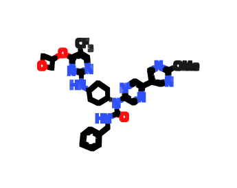 COc1ncc(-c2cnc(N(C(=O)NCc3ccccc3)[C@H]3CC[C@H](Nc4ncc(C(F)(F)F)c(OC5COC5)n4)CC3)cn2)cn1